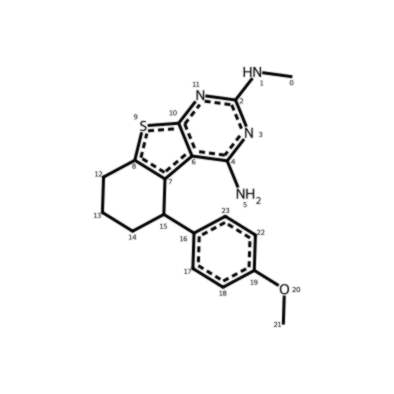 CNc1nc(N)c2c3c(sc2n1)CCCC3c1ccc(OC)cc1